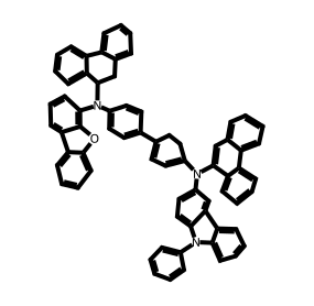 C1=C(c2ccc(N(c3cccc4c3oc3ccccc34)C3Cc4ccccc4-c4ccccc43)cc2)CCC(N(c2ccc3c(c2)c2ccccc2n3-c2ccccc2)c2cc3ccccc3c3ccccc23)=C1